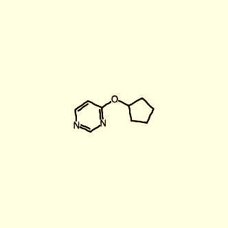 c1cc(OC2CCCC2)ncn1